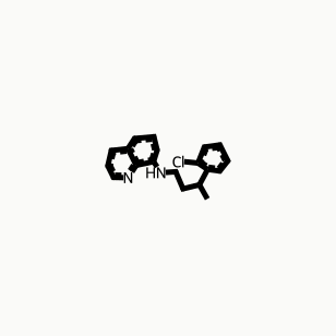 CC(CCNc1cccc2cccnc12)c1ccccc1Cl